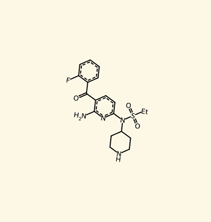 CCS(=O)(=O)N(c1ccc(C(=O)c2ccccc2F)c(N)n1)C1CCNCC1